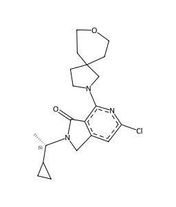 C[C@@H](C1CC1)N1Cc2cc(Cl)nc(N3CCC4(CCOCC4)C3)c2C1=O